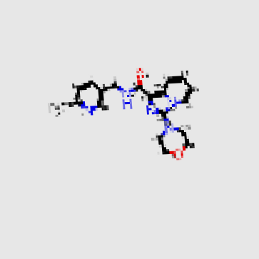 O=C(NCc1ccc(C(F)(F)F)nc1)c1nc(N2CCOCC2)n2ccccc12